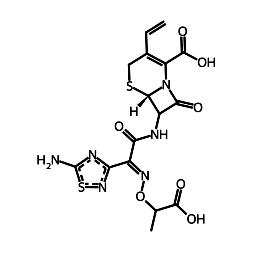 C=CC1=C(C(=O)O)N2C(=O)C(NC(=O)C(=NOC(C)C(=O)O)c3nsc(N)n3)[C@@H]2SC1